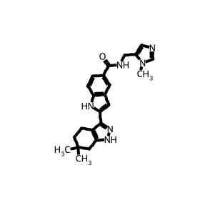 Cn1cncc1CNC(=O)c1ccc2[nH]c(-c3n[nH]c4c3CCC(C)(C)C4)cc2c1